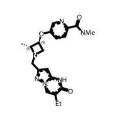 CCc1cn2nc(CN3C[C@H](Oc4ccc(C(=O)NC)nc4)[C@H]3C)cc2[nH]c1=O